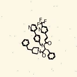 O=C([C@H](Cc1ccccc1)N(Cc1ccc(-c2cccnc2)cc1)C(=O)C=Cc1ccc(C(F)(F)F)nc1)N1CCC(Cc2ccccc2)CC1